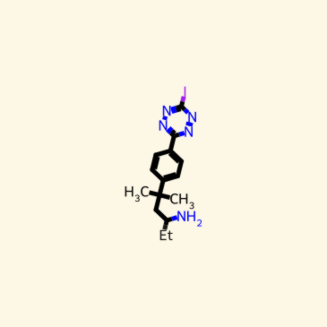 CCC(N)CC(C)(C)c1ccc(-c2nnc(I)nn2)cc1